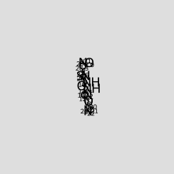 COc1cc(-c2nc(NC(=O)Nc3cccc(OC[C@@H]4CCCN4C)n3)cs2)ccn1